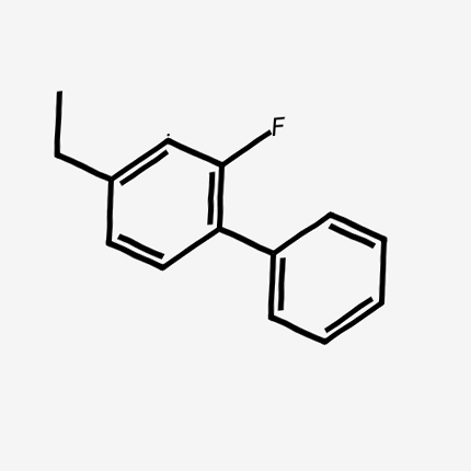 CCc1[c]c(F)c(-c2ccccc2)cc1